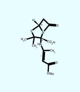 COC(=O)/C=C(\C)N[C@@]1(C(=O)O)N2C(=O)C[C@H]2SC1(C)C